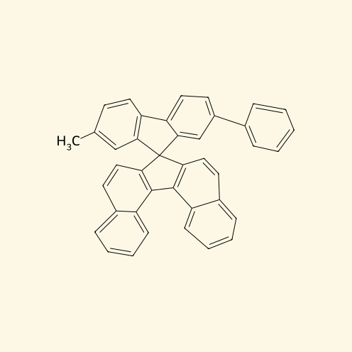 Cc1ccc2c(c1)C1(c3cc(-c4ccccc4)ccc3-2)c2ccc3ccccc3c2-c2c1ccc1ccccc21